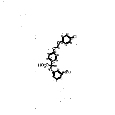 CC(C)(C)c1cccc(OC(C)(C(=O)O)c2ccc(OCOc3ccc(Cl)cc3)cc2)c1